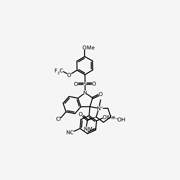 CNC(=O)[C@@H]1C[C@@H](O)C[N+]1(C)C1(c2cc(C#N)ccc2OC)C(=O)N(S(=O)(=O)c2ccc(OC)cc2OC(F)(F)F)c2ccc(Cl)cc21